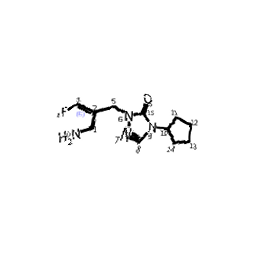 NC/C(=C\F)Cn1ncn(C2CCCC2)c1=O